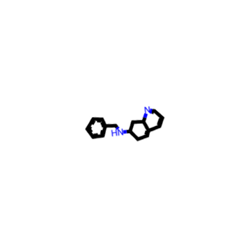 C1=CC2=CCC(NCc3ccccc3)CC2N=C1